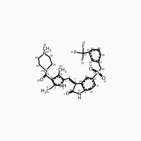 Cc1[nH]c(/C=C2\C(=O)Nc3ccc(S(=O)(=O)Cc4cccc(C(F)(F)F)c4)cc32)c(C)c1C(=O)N1CCN(C)CC1